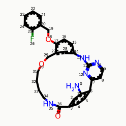 Nc1cc2ccc1-c1ccnc(n1)Nc1ccc(OCc3ccccc3F)c(c1)COCCCCNC2=O